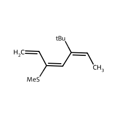 C=C/C(=C\C(=C/C)C(C)(C)C)SC